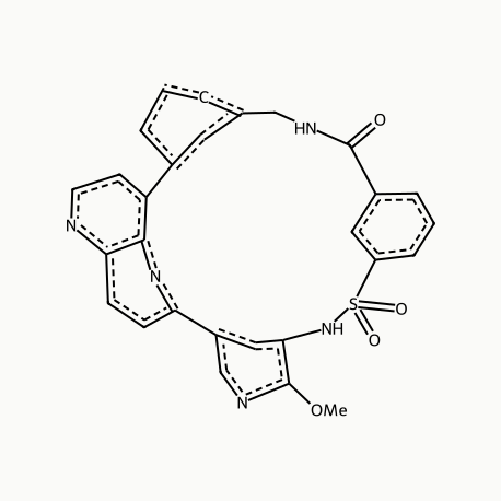 COc1ncc2cc1NS(=O)(=O)c1cccc(c1)C(=O)NCc1cccc(c1)-c1ccnc3ccc-2nc13